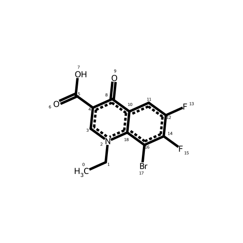 CCn1cc(C(=O)O)c(=O)c2cc(F)c(F)c(Br)c21